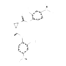 Cc1cc([N+](=O)[O-])ccc1OC(=O)[C@@H]1C[C@H]1C(=O)Oc1ccc([N+](=O)[O-])cc1C